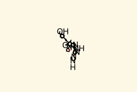 Cc1c(C#Cc2ccc(CO)cc2)c(=O)n(C2CCCC2)c2nc(Nc3ccc(N4CCNCC4)cn3)ncc12